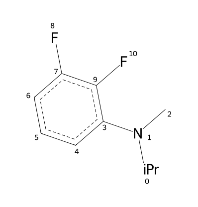 CC(C)N(C)c1cccc(F)c1F